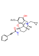 CC(=O)Oc1cc(O)c2c3c1O[C@H]1[C@@H](N(C)C(=O)C#Cc4ccccc4)CC[C@H]4[C@@H](C2)N(CC2CC2)CC[C@@]341